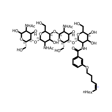 CCCCCC/C=C\CCCOc1cccc(C(=O)NC2C(O)[C@H](O)C(CO)O[C@H]2O[C@H]2C(O)C(NC(C)=O)[C@H](O[C@@H]3C(CO)O[C@@H](O[C@H]4C(O)C(NC(C)=O)C(O)O[C@H]4CO)C(NC(C)=O)C3O)O[C@H]2CO)c1